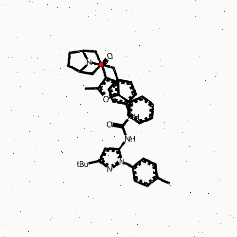 Cc1ccc(-n2nc(C(C)(C)C)cc2NC(=O)Nc2ccc(CC3CC4CCC(C3)N4C(=O)c3cc(-c4ccccc4)oc3C)cc2)cc1